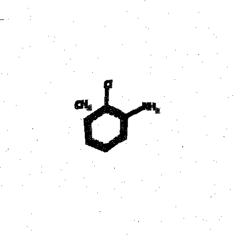 C.Nc1ccccc1Cl